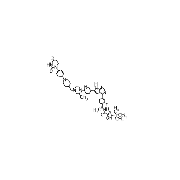 CC1CN(CC2CCN(c3ccc(N4CCC(=O)NC4=O)cc3)CC2)CCN1c1ccc(-c2cc3c(-c4ccc([C@@H](C)NC(=O)c5nc(C(C)(C)C)no5)c(F)c4)ncnc3[nH]2)cn1